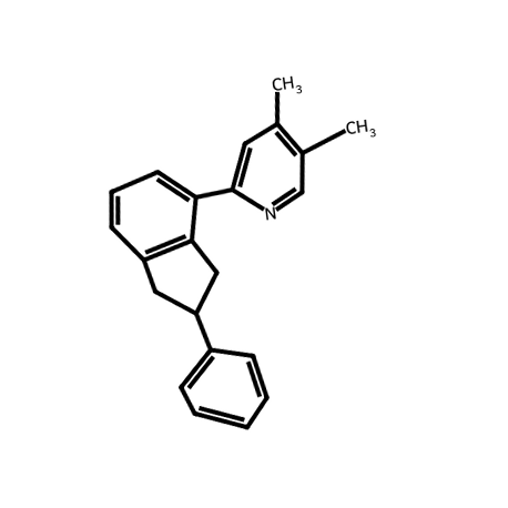 Cc1cnc(-c2cccc3c2CC(c2ccccc2)C3)cc1C